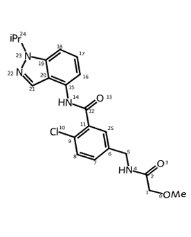 COCC(=O)NCc1ccc(Cl)c(C(=O)Nc2cccc3c2cnn3C(C)C)c1